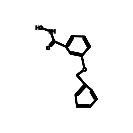 O=C(NO)c1cccc(OCc2ccccc2)c1